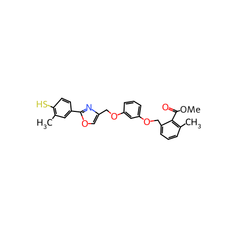 COC(=O)c1c(C)cccc1COc1cccc(OCc2coc(-c3ccc(S)c(C)c3)n2)c1